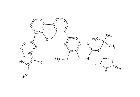 COc1nc(-c2cccc(-c3cccc(-c4ccc5[nH]c(C=O)c(Cl)c5n4)c3Cl)c2Cl)ccc1CN(C[C@@H]1CCC(=O)N1)C(=O)OC(C)(C)C